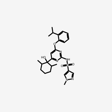 CC(C)c1ccccc1Oc1cc(C2(O)C(C)CCCC2C)nc(NS(=O)(=O)c2cnn(C)c2)n1